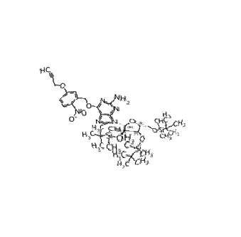 C#CCOc1ccc([N+](=O)[O-])c(COc2nc(N)nc3c2ncn3[C@@H]2O[C@H](CO[Si](C)(C)C(C)(C)C)[C@@H](O[Si](C)(C)C(C)(C)C)[C@H]2O[Si](C)(C)C(C)(C)C)c1